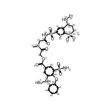 CCCCNc1cc(C(=O)OCC(=O)N(C)CC(=O)NS(=O)(=O)c2cc3c(s2)S(=O)(=O)[C@@H](C)C[C@@H]3NCC)cc(S(N)(=O)=O)c1Oc1ccccc1